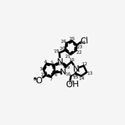 COc1ccc2c(c1)nc(CN1CCC[C@H]1CO)n2Cc1ccc(Cl)cc1